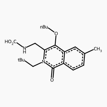 CCCCOc1c(CNC(=O)O)n(CC(C)(C)C)c(=O)c2ccc(C)cc12